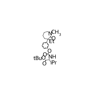 CCC1(c2cccc(OC(=O)NC(C(=O)OC(C)(C)C)C(C)C)c2)CCCCN(C)C1=O